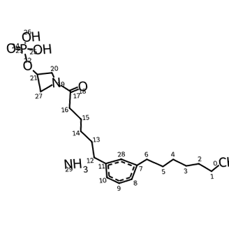 CCCCCCCc1cccc(CCCCCC(=O)N2CC(OP(=O)(O)O)C2)c1.N